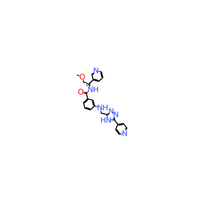 COC[C@H](NC(=O)c1cccc(NCc2nnc(-c3ccncc3)[nH]2)c1)c1cccnc1